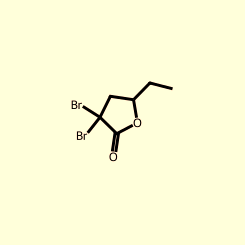 CCC1CC(Br)(Br)C(=O)O1